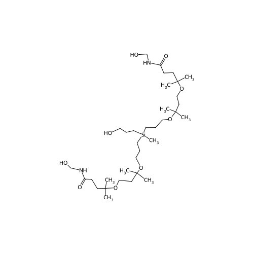 CC(C)(CCOC(C)(C)CCC(=O)NCO)OCCC[Si](C)(CCCO)CCCOC(C)(C)CCOC(C)(C)CCC(=O)NCO